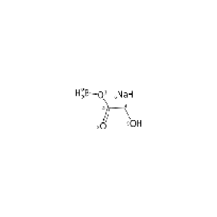 BOC(=O)CO.[NaH]